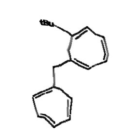 CC(C)(C)c1ccccc1Cc1ccccc1